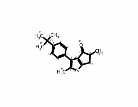 Cc1sc2c(c1-c1ccc(C(C)(C)C)cc1)C(=O)C(C)C2